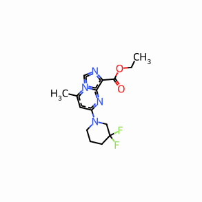 CCOC(=O)c1ncn2c(C)cc(N3CCCC(F)(F)C3)nc12